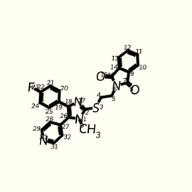 Cn1c(SCCN2C(=O)c3ccccc3C2=O)nc(-c2ccc(F)cc2)c1-c1ccncc1